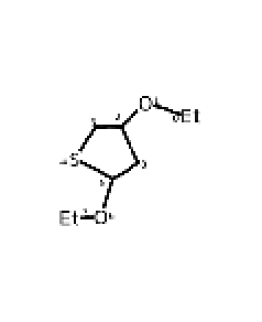 CCOC1CSC(OCC)C1